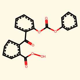 O=C(Oc1ccccc1)Oc1ccccc1C(=O)c1ccccc1C(=O)OO